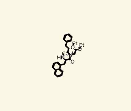 CCOC(CN(CCCc1ccccc1)C(=O)C(Cc1cccc2ccccc12)NC(=O)O)OCC